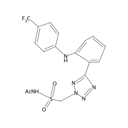 CC(=O)NS(=O)(=O)Cn1nnc(-c2ccccc2Nc2ccc(C(F)(F)F)cc2)n1